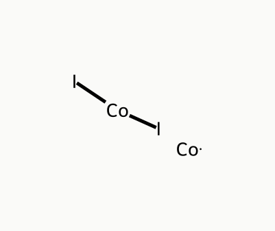 [Co].[I][Co][I]